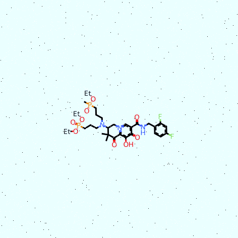 CCOP(C)(=O)CCCN(CCCP(=O)(OCC)OCC)C1Cn2cc(C(=O)NCc3ccc(F)cc3F)c(=O)c(O)c2C(=O)C1(C)C